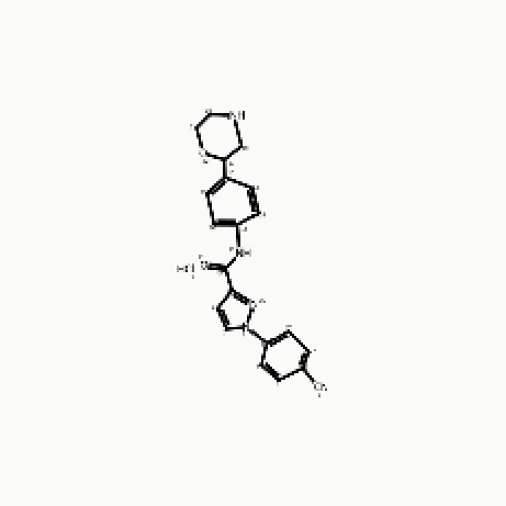 Cl.N#Cc1ccc(-n2ccc(C(=O)Nc3ccc(C4CNCCO4)cc3)n2)cc1